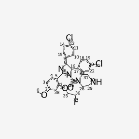 COc1ccc(C2=NC(c3ccc(Cl)cc3)C(c3ccc(Cl)cc3)N2C(=O)N2CCNCC2)c(OCCF)c1